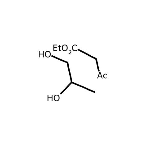 CC(O)CO.CCOC(=O)CC(C)=O